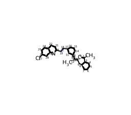 C=C(C)c1ccccc1CC[C@H](C)c1cccc(/C=C/c2ccc3ccc(Cl)cc3n2)c1